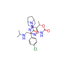 CC(C)NCC(C(=O)N1CC2CCC(C1)N2c1ncnc2c1C(C)OC(=O)N2)c1ccc(Cl)cc1